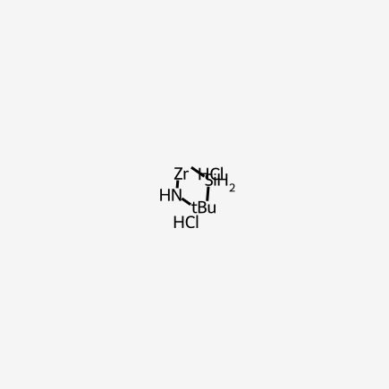 CC(C)(C)[NH][Zr].C[SiH2]C.Cl.Cl